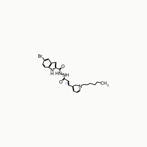 CCCCCCN1C=CC=C(/C=C/C(=O)NNC(=O)c2cc3cc(Br)ccc3[nH]2)C1